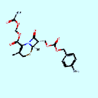 CC1=C(C(=O)OCOC(=O)C(C)(C)C)N2C(=O)[C@H](COC(=O)OCc3ccc([N+](=O)[O-])cc3)[C@H]2SC1